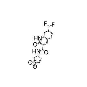 O=C(N[C@@H]1C=CS(=O)(=O)C1)c1cc2ccc(C(F)F)cc2[nH]c1=O